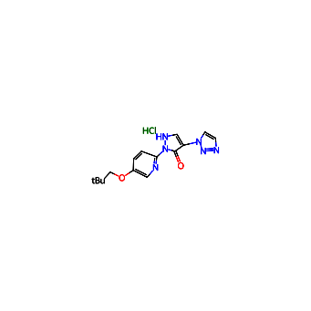 CC(C)(C)COc1ccc(-n2[nH]cc(-n3ccnn3)c2=O)nc1.Cl